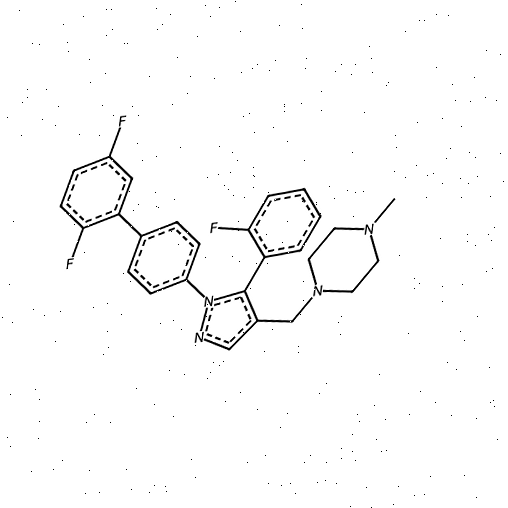 CN1CCN(Cc2cnn(-c3ccc(-c4cc(F)ccc4F)cc3)c2-c2ccccc2F)CC1